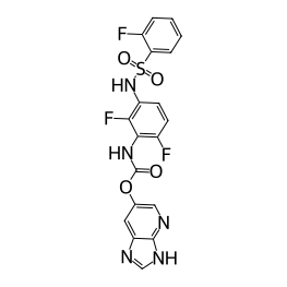 O=C(Nc1c(F)ccc(NS(=O)(=O)c2ccccc2F)c1F)Oc1cnc2[nH]cnc2c1